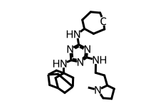 CN1CCCC1CCNc1nc(NC2CCCCCC2)nc(NC23CC4CC(CC(C4)C2)C3)n1